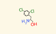 N[C@H](CO)Cc1ccc(Cl)cc1Cl